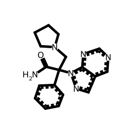 NC(=O)C(CN1CCCC1)(c1ccccc1)n1ncc2cncnc21